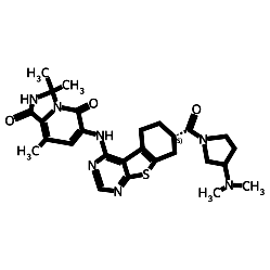 Cc1cc(Nc2ncnc3sc4c(c23)CC[C@H](C(=O)N2CCC(N(C)C)C2)C4)c(=O)n2c1C(=O)NC2(C)C